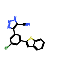 N#Cc1[nH]nnc1-c1cc(Cl)cc(-c2cc3ccccc3s2)c1